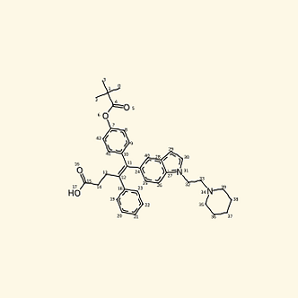 CC(C)(C)C(=O)Oc1ccc(/C(=C(\CCC(=O)O)c2ccccc2)c2ccc3c(ccn3CCN3CCCCC3)c2)cc1